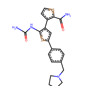 NC(=O)Nc1sc(-c2ccc(CN3CCCC3)cc2)cc1-c1ccsc1C(N)=O